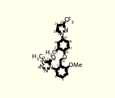 COc1cccc(-n2nnn(C)c2=O)c1COc1ccc(-n2ccc(C(F)(F)F)n2)cc1C